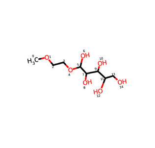 COCCOC(O)C(O)C(O)C(O)CO